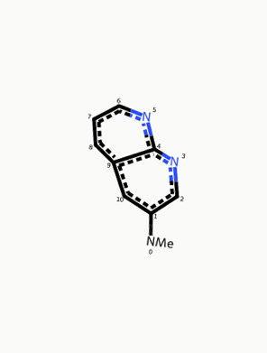 CNc1cnc2ncccc2c1